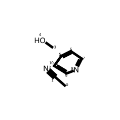 CC#N.CO.c1ccncc1